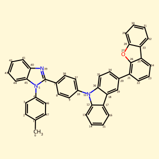 Cc1ccc(-n2c(-c3ccc(-n4c5ccccc5c5cc(-c6cccc7c6oc6ccccc67)ccc54)cc3)nc3ccccc32)cc1